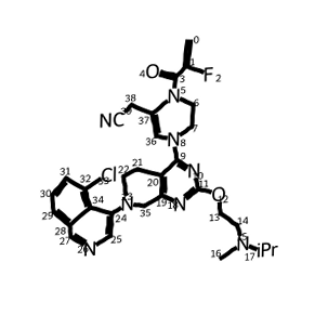 C=C(F)C(=O)N1CCN(c2nc(OCCN(C)C(C)C)nc3c2CCN(c2cncc4cccc(Cl)c24)C3)C=C1CC#N